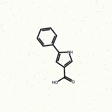 O=C(O)c1c[nH]c(-c2ccccc2)c1